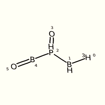 [3H]B[PH](=O)B=O